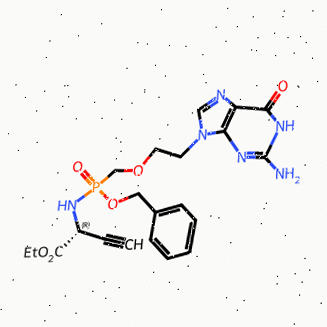 C#C[C@@H](NP(=O)(COCCn1cnc2c(=O)[nH]c(N)nc21)OCc1ccccc1)C(=O)OCC